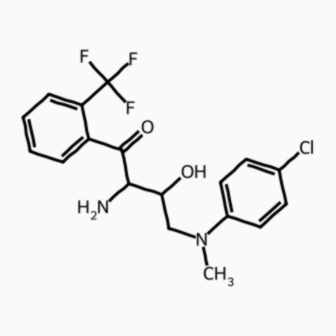 CN(CC(O)C(N)C(=O)c1ccccc1C(F)(F)F)c1ccc(Cl)cc1